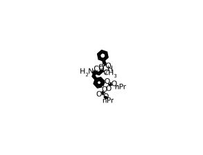 CCCOC(=O)Oc1ccc(CC(N)(C[C@H](C)OC(=O)C2CCCCC2)C(=O)O)cc1OC(=O)OCCC